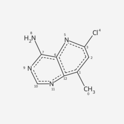 Cc1cc(Cl)nc2c(N)ncnc12